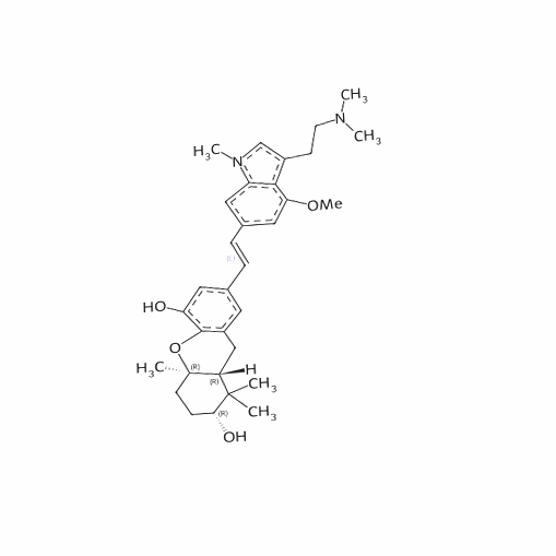 COc1cc(/C=C/c2cc(O)c3c(c2)C[C@@H]2C(C)(C)[C@H](O)CC[C@@]2(C)O3)cc2c1c(CCN(C)C)cn2C